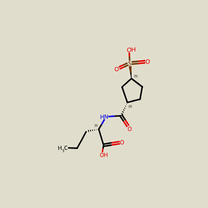 CCC[C@H](NC(=O)[C@H]1CC[C@H](S(=O)(=O)O)C1)C(=O)O